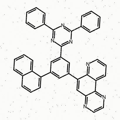 c1ccc(-c2nc(-c3ccccc3)nc(-c3cc(-c4cccc5ccccc45)cc(-c4cc5nccnc5c5cccnc45)c3)n2)cc1